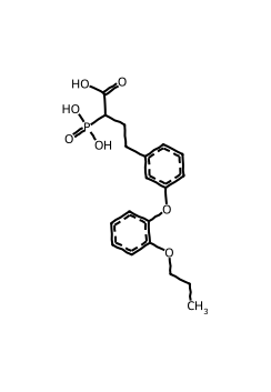 CCCOc1ccccc1Oc1cccc(CCC(C(=O)O)P(=O)(O)O)c1